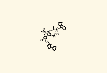 COC(=O)[C@H](CCCCNC(=O)OCC1c2ccccc2-c2ccccc21)NCc1cc(Cl)c(OCc2cccc(-c3ccccc3)c2C)cc1-c1cncc(C(=O)O)c1